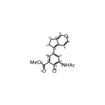 COC(=O)c1nc(C2=C3C=COC=C3CC2)cc(NC(C)=O)c1Cl